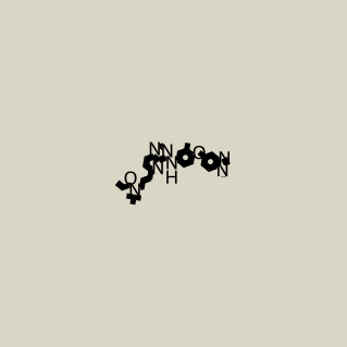 C=CC(=O)N(CC=Cc1ccc2ncnc(Nc3ccc(Oc4ccc5c(c4)ncn5C)c(C)c3)c2n1)C(C)(C)C